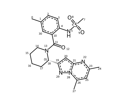 Cc1ccc(NS(C)(=O)=O)c(C(=O)N2CCCC[C@H]2c2cc3nc(C)cc(C)n3n2)c1